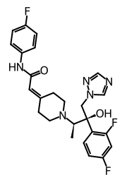 C[C@@H](N1CCC(=CC(=O)Nc2ccc(F)cc2)CC1)[C@](O)(Cn1cncn1)c1ccc(F)cc1F